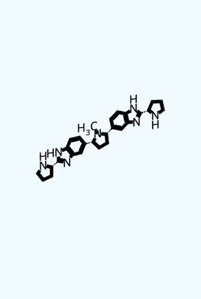 CN1[C@@H](c2ccc3[nH]c([C@@H]4CCCN4)nc3c2)CC[C@H]1c1ccc2[nH]c([C@@H]3CCCN3)nc2c1